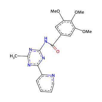 COc1cc(C(=O)Nc2nc(C)nc(-c3ccccn3)n2)cc(OC)c1OC